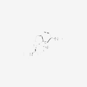 NC1=N[C@@]2(CCc3ccc([N+](=O)[O-])cc32)C(F)(F)CO1